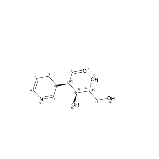 O=C[C@H](C1C=NC=CC1)[C@H](O)[C@H](O)CO